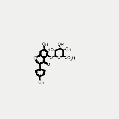 O=C(O)[C@H]1O[C@@H](Oc2cc(O)cc3occ(-c4ccc(O)cc4)c(=O)c23)[C@H](O)[C@@H](O)[C@@H]1O